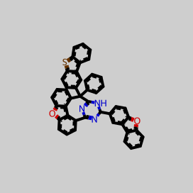 c1ccc(C2(c3ccc4sc5ccccc5c4c3)C3=NC(=NC(c4ccc5oc6ccccc6c5c4)N3)c3cccc4oc5cccc2c5c34)cc1